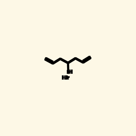 Br.C=CCC(S)CC=C